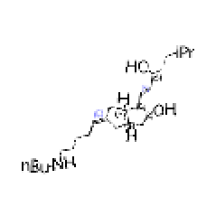 CCCCNCCCC/C=C1\C[C@H]2C[C@@H](O)[C@H](/C=C/[C@@H](O)CCC(C)C)[C@H]2C1